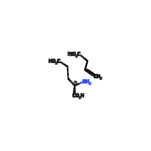 C=CCC(=O)OCC.N[C@H](CCC(=O)O)C(=O)O